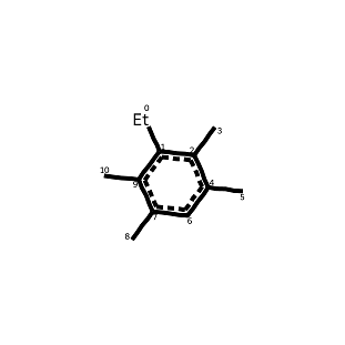 CCc1c(C)c(C)cc(C)c1C